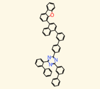 c1ccc(-c2cccc(-c3nc(-c4ccc(-c5cccc(-c6ccc(-c7cccc8c7oc7ccccc78)c7ccccc67)c5)cc4)nc(-c4ccccc4-c4ccccc4)n3)c2)cc1